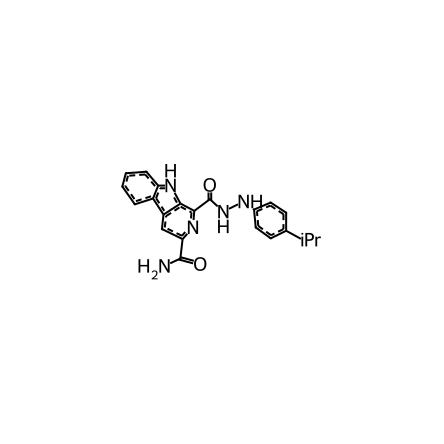 CC(C)c1ccc(NNC(=O)c2nc(C(N)=O)cc3c2[nH]c2ccccc23)cc1